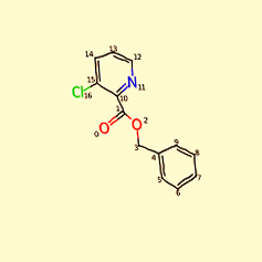 O=C(OCc1ccccc1)c1ncccc1Cl